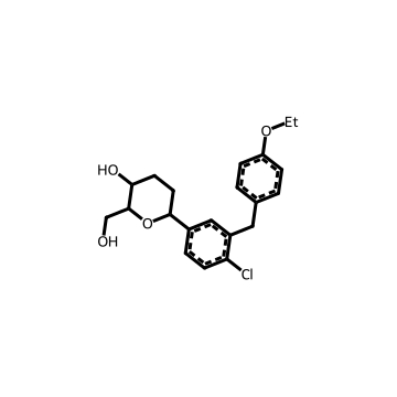 CCOc1ccc(Cc2cc(C3CCC(O)C(CO)O3)ccc2Cl)cc1